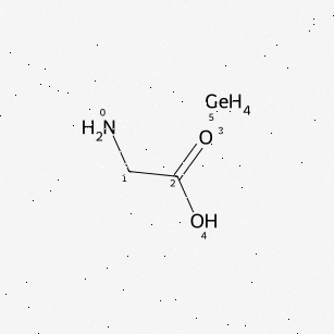 NCC(=O)O.[GeH4]